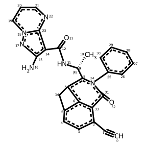 C#Cc1ccc2c3c(c([C@@H](C)NC(=O)c4c(N)nn5cccnc45)n(-c4ccccc4)c(=O)c13)C2